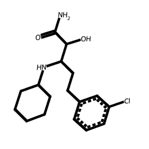 NC(=O)C(O)C(CCc1cccc(Cl)c1)NC1CCCCC1